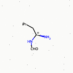 CC(C)C[C@@H](N)NC=O